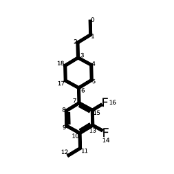 CCCC1CCC(c2ccc(CC)c(F)c2F)CC1